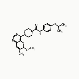 COc1cc2c(N3CCN(C(=O)Nc4ccc(OC(C)C)cc4)CC3)ncnc2cc1C